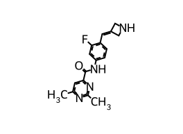 Cc1cc(C(=O)Nc2ccc(C=C3CNC3)c(F)c2)nc(C)n1